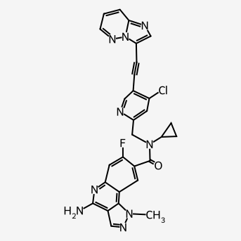 Cn1ncc2c(N)nc3cc(F)c(C(=O)N(Cc4cc(Cl)c(C#Cc5cnc6cccnn56)cn4)C4CC4)cc3c21